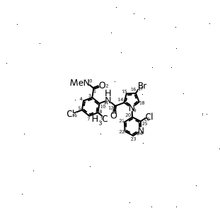 CNC(=O)c1cc(Cl)cc(C)c1NC(=O)c1cc(Br)cn1-c1cccnc1Cl